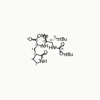 COC(=O)[C@H](C[C@@H]1CCNC1=O)NC(=O)[C@H](CC(C)(C)C)NC(=O)OC(C)(C)C